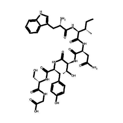 CC[C@H](C)[C@H](NC(=O)[C@@H](N)Cc1c[nH]c2ccccc12)C(=O)N[C@@H](CC(N)=O)C(=O)N[C@H](C(=O)N[C@@H](Cc1ccc(O)cc1)C(=O)N[C@@H](CO)C(=O)NCC(=O)O)[C@@H](C)O